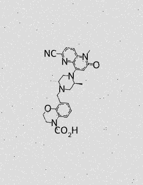 C[C@@H]1CN(c2cc(=O)n(C)c3ccc(C#N)nc23)[C@@H](C)CN1Cc1cccc2c1OCCN2C(=O)O